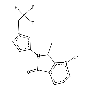 CC1c2c(ccc[n+]2[O-])C(=O)N1c1cnn(CC(F)(F)F)c1